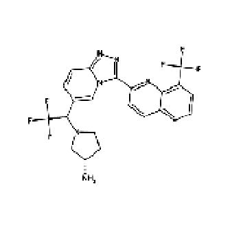 N[C@H]1CCN([C@H](c2ccc3nnc(-c4ccc5cccc(C(F)(F)F)c5n4)n3c2)C(F)(F)F)C1